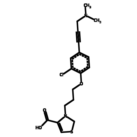 CN(C)CC#Cc1ccc(OCCCN2CSC=C2C(=O)O)c(Cl)c1